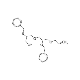 C=CCOCC(COCC(CO)OCc1ccccc1)OCc1ccccc1